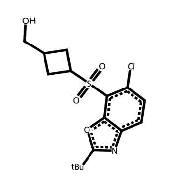 CC(C)(C)c1nc2ccc(Cl)c(S(=O)(=O)C3CC(CO)C3)c2o1